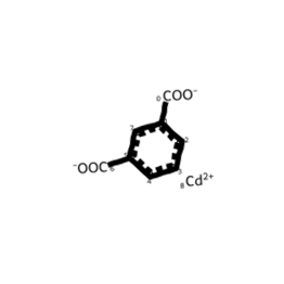 O=C([O-])c1cccc(C(=O)[O-])c1.[Cd+2]